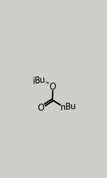 C[CH][C@@H](C)OC(=O)CCCC